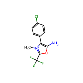 C[n+]1c(C(F)(F)F)oc(N)c1-c1ccc(Cl)cc1